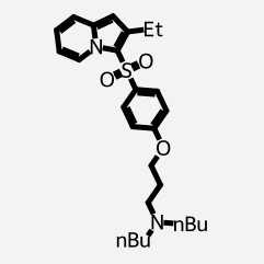 CCCCN(CCCC)CCCOc1ccc(S(=O)(=O)c2c(CC)cc3ccccn23)cc1